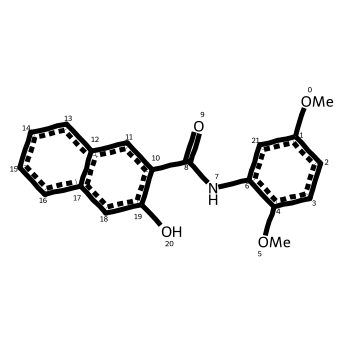 COc1ccc(OC)c(NC(=O)c2cc3ccccc3cc2O)c1